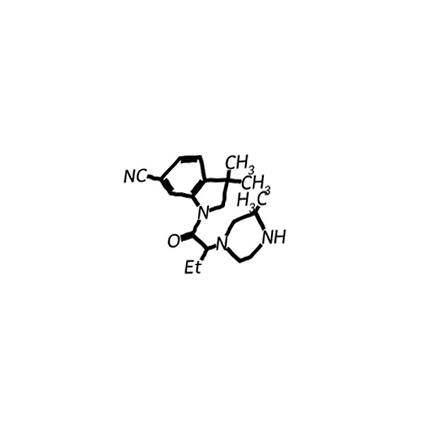 CCC(C(=O)N1CC(C)(C)c2ccc(C#N)cc21)N1CCNC(C)C1